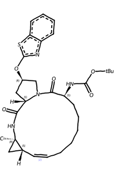 CC(C)(C)OC(=O)N[C@H]1CCCCC/C=C\[C@@H]2C[C@@]2(C(=O)O)NC(=O)[C@@H]2C[C@@H](Oc3nc4ccccc4s3)CN2C1=O